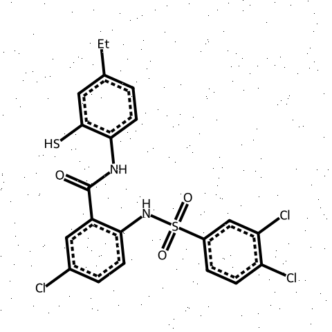 CCc1ccc(NC(=O)c2cc(Cl)ccc2NS(=O)(=O)c2ccc(Cl)c(Cl)c2)c(S)c1